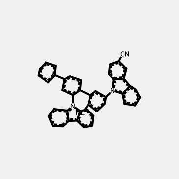 N#Cc1ccc2c(c1)c1ccccc1n2-c1ccc(C#N)c(-c2ccc(-c3ccccc3)cc2-n2c3ccccc3c3ccccc32)c1